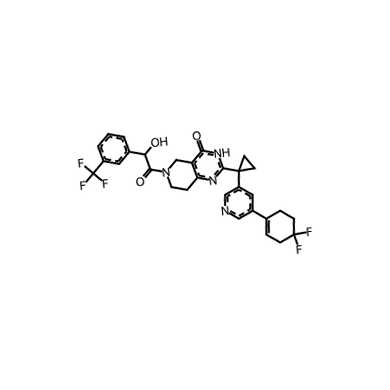 O=C(C(O)c1cccc(C(F)(F)F)c1)N1CCc2nc(C3(c4cncc(C5=CCC(F)(F)CC5)c4)CC3)[nH]c(=O)c2C1